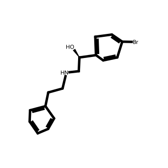 O[C@H](CNCCc1ccccc1)c1ccc(Br)cc1